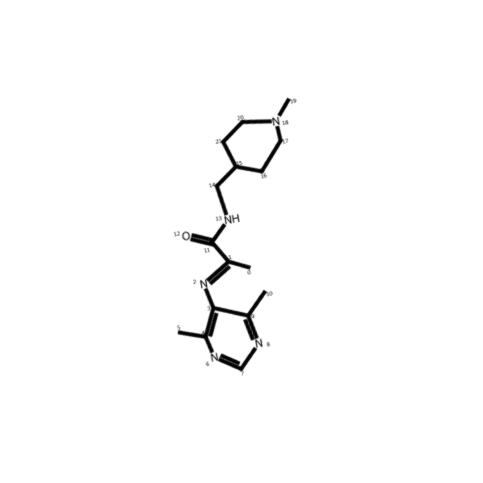 C/C(=N\c1c(C)ncnc1C)C(=O)NCC1CCN(C)CC1